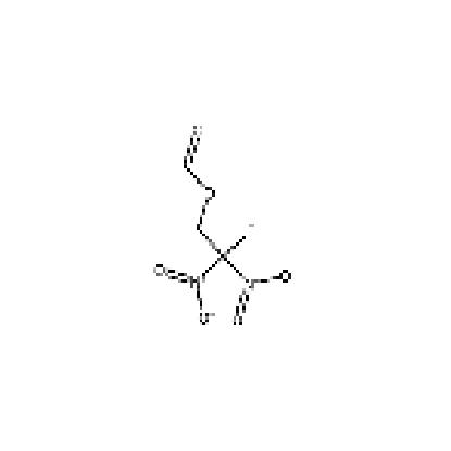 O=COCC(F)([N+](=O)[O-])[N+](=O)[O-]